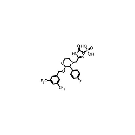 O=c1[nH]c(CN2CCO[C@H](OCc3cc(C(F)(F)F)cc(C(F)(F)F)c3)[C@@H]2c2ccc(F)cc2)nn1P(=O)(O)O